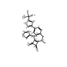 CN(Cc1ccc(-c2noc(C(F)(F)Cl)n2)cc1)c1c(Nc2cocn2)c(=O)c1=O